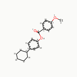 CCOc1ccc(C(=O)Oc2ccc(C3CC[CH]CC3)cc2)cc1